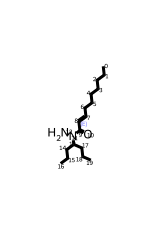 CCCCCCC/C=C/C(=O)N(N)C(CCC)CCC